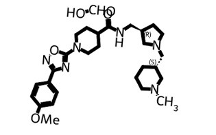 COc1ccc(-c2noc(N3CCC(C(=O)NC[C@H]4CCN(C[C@H]5CCCN(C)C5)C4)CC3)n2)cc1.O=CO